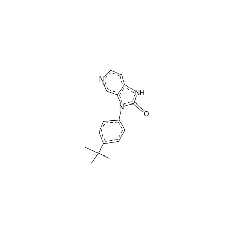 CC(C)(C)c1ccc(-n2c(=O)[nH]c3ccncc32)cc1